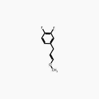 COC=CCc1ccc(F)c(F)c1